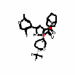 Cc1cc(-c2cc(C(=O)N3C4CCC3CC(C(=O)N[C@@H]3CC[C@@H](C(F)(F)F)OC3)C4)n[nH]2)c(F)cn1